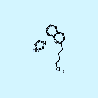 CCCCCc1ccc2ccccc2n1.c1c[nH]cn1